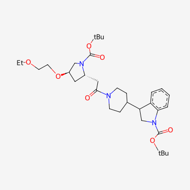 CCOCCO[C@@H]1C[C@@H](CC(=O)N2CCC(C3CN(C(=O)OC(C)(C)C)c4ccccc43)CC2)N(C(=O)OC(C)(C)C)C1